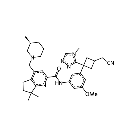 COc1cc(NC(=O)c2cc(CN3CCC[C@H](C)C3)c3c(n2)C(C)(C)CC3)cc(C2(c3nncn3C)CC(CC#N)C2)c1